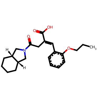 CCCOc1ccccc1/C=C(\CC(=O)N1C[C@H]2CCCC[C@H]2C1)C(=O)O